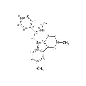 Cc1ccc2c(c1)c1c(n2CC(NC(C)C)c2ccncc2)CCN(C)C1